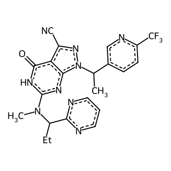 CCC(c1ncccn1)N(C)c1nc2c(c(C#N)nn2C(C)c2ccc(C(F)(F)F)nc2)c(=O)[nH]1